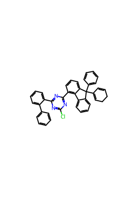 Clc1nc(-c2ccccc2-c2ccccc2)nc(-c2cccc3c2-c2ccccc2C3(C2=CCCC=C2)c2ccccc2)n1